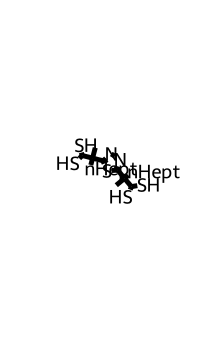 CCCCCCCC(C)(c1nnc(C(C)(CCCCCCC)C(S)S)s1)C(S)S